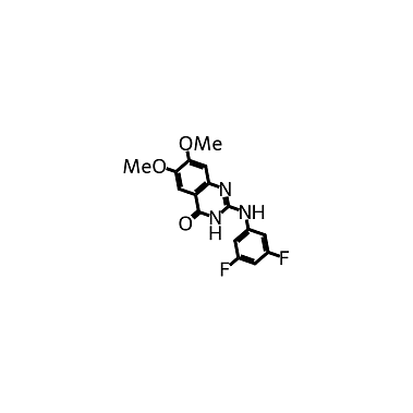 COc1cc2nc(Nc3cc(F)cc(F)c3)[nH]c(=O)c2cc1OC